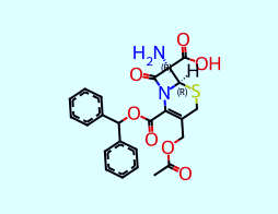 CC(=O)OCC1=C(C(=O)OC(c2ccccc2)c2ccccc2)N2C(=O)[C@@](N)(C(=O)O)[C@H]2SC1